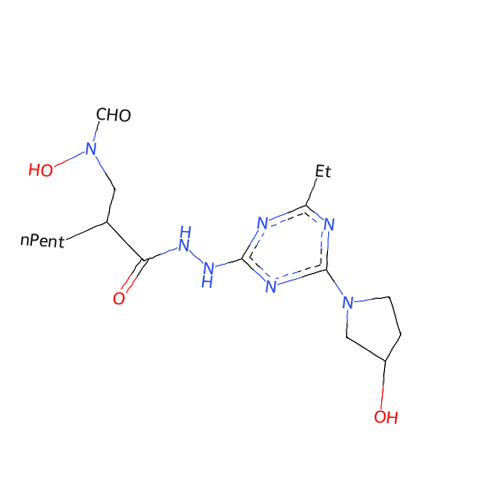 CCCCCC(CN(O)C=O)C(=O)NNc1nc(CC)nc(N2CCC(O)C2)n1